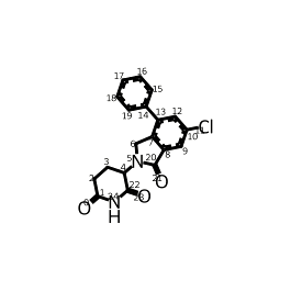 O=C1CCC(N2Cc3c(cc(Cl)cc3-c3ccccc3)C2=O)C(=O)N1